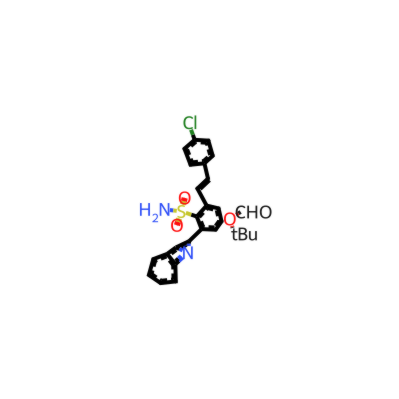 CC(C)(C)OC=O.NS(=O)(=O)c1c(C=Cc2ccc(Cl)cc2)cccc1-c1c2c3ccccc3n1-2